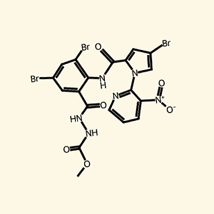 COC(=O)NNC(=O)c1cc(Br)cc(Br)c1NC(=O)c1cc(Br)cn1-c1ncccc1[N+](=O)[O-]